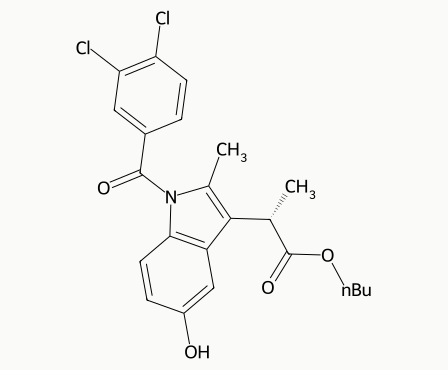 CCCCOC(=O)[C@@H](C)c1c(C)n(C(=O)c2ccc(Cl)c(Cl)c2)c2ccc(O)cc12